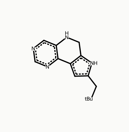 CC(C)(C)Cc1cc2c([nH]1)CNc1cncnc1-2